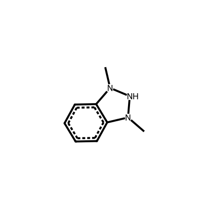 CN1NN(C)c2ccccc21